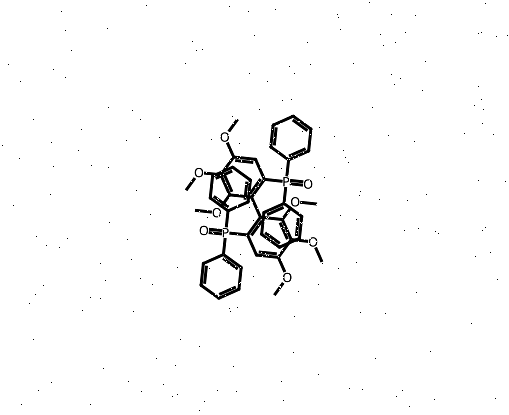 COc1cc(P(=O)(c2ccccc2)c2ccccc2)c(-c2c(P(=O)(c3ccccc3)c3ccccc3)cc(OC)c(OC)c2OC)c(OC)c1OC